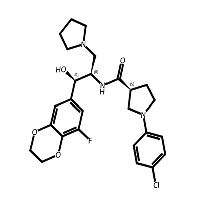 O=C(N[C@H](CN1CCCC1)[C@H](O)c1cc(F)c2c(c1)OCCO2)[C@H]1CCN(c2ccc(Cl)cc2)C1